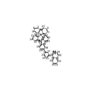 c1ccc(C2(c3ccccc3)c3ccccc3-n3c4ccc(-c5cccc(-c6nccc7ccccc67)c5)cc4c4cccc2c43)cc1